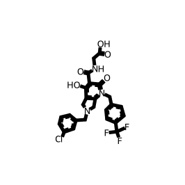 O=C(O)CNC(=O)c1c(O)c2c(n(Cc3ccc(C(F)(F)F)cc3)c1=O)CN(Cc1cccc(Cl)c1)C2